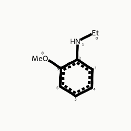 CCNc1c[c]ccc1OC